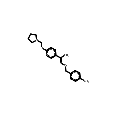 C/C(=N\OCc1ccc(C)cc1)c1ccc(OCN2CCCC2)nc1